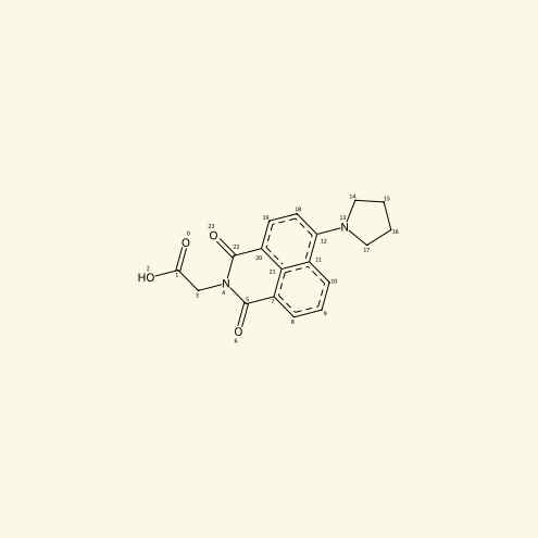 O=C(O)CN1C(=O)c2cccc3c(N4CCCC4)ccc(c23)C1=O